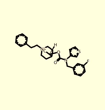 O=C(O[C@H]1C[N+]2(CCc3ccccc3)CCC1CC2)N(Cc1cccc(F)c1)c1ccsc1